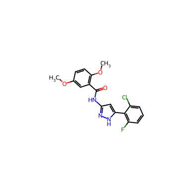 COc1ccc(OC)c(C(=O)Nc2cc(-c3c(F)cccc3Cl)[nH]n2)c1